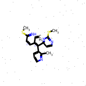 C=CC(/C=C\C(=N)SC)=C(\c1ccnc(SC)n1)c1cccnc1C